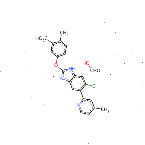 Cc1ccnc(-c2cc3nc(Oc4ccc(C)c(C(=O)O)c4)[nH]c3cc2Cl)c1.O=CO